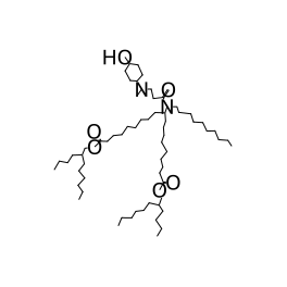 CCCCCCCCCCN(C(=O)CCN(C)C1CCC(O)CC1)C(CCCCCCCCC(=O)OCC(CCCC)CCCCCC)CCCCCCCCC(=O)OCC(CCCC)CCCCCC